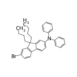 CCCCC1(CCCC)c2cc(Br)ccc2-c2ccc(N(c3ccccc3)c3ccccc3)cc21